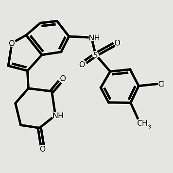 Cc1ccc(S(=O)(=O)Nc2ccc3occ(C4CCC(=O)NC4=O)c3c2)cc1Cl